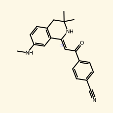 CNc1ccc2c(c1)/C(=C/C(=O)c1ccc(C#N)cc1)NC(C)(C)C2